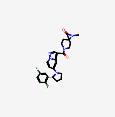 CN1C(=O)C12CCN(C(=O)c1cnn3ccc(N4CCC[C@@H]4c4cc(F)ccc4F)cc13)CC2